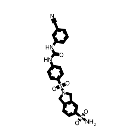 N#Cc1cccc(NC(=O)Nc2ccc(S(=O)(=O)N3Cc4ccc(S(N)(=O)=O)cc4C3)cc2)c1